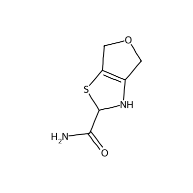 NC(=O)C1NC2=C(COC2)S1